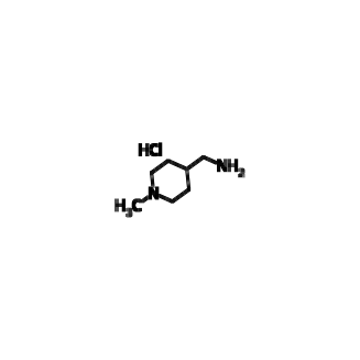 CN1CCC(CN)CC1.Cl